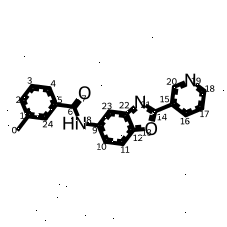 Cc1cccc(C(=O)Nc2ccc3oc(-c4cccnc4)nc3c2)c1